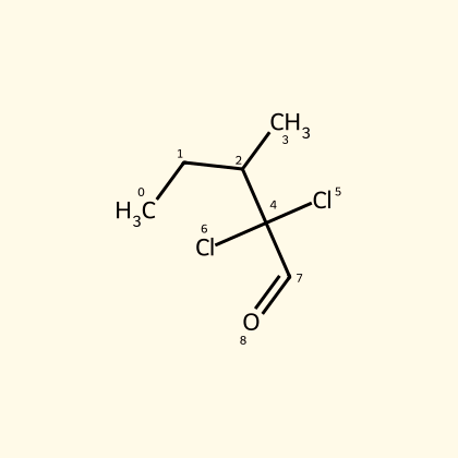 CCC(C)C(Cl)(Cl)C=O